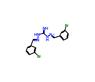 N=C(N/N=C/c1cccc(Br)c1)N/N=C/c1cccc(Br)c1